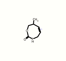 CC1/C=C\CPC(=O)OC1